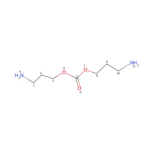 NCCCOC(=O)OCCCN